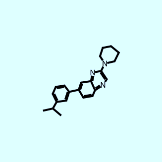 CC(C)c1cccc(-c2ccc3ncc(N4CCCCC4)nc3c2)c1